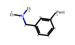 CCCC(C)c1cccc(CN(CC)CC)c1